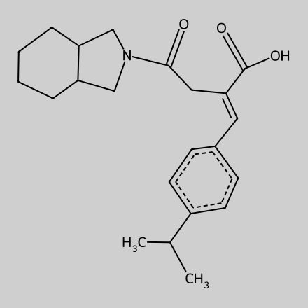 CC(C)c1ccc(/C=C(\CC(=O)N2CC3CCCCC3C2)C(=O)O)cc1